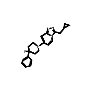 FC1(c2ccccc2)CCN(c2ccn3c(CC4CC4)nnc3c2)CC1